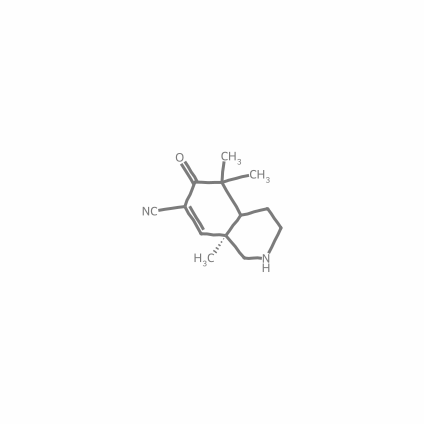 CC1(C)C(=O)C(C#N)=C[C@]2(C)CNCCC12